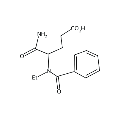 CCN(C(=O)c1ccccc1)C(CCC(=O)O)C(N)=O